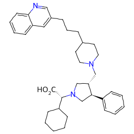 O=C(O)[C@@H](C1CCCCC1)N1C[C@H](CN2CCC(CCCc3cnc4ccccc4c3)CC2)[C@@H](c2ccccc2)C1